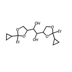 CCC1(C2CC2)OCC(C(O)C(O)C2COC(CC)(C3CC3)O2)O1